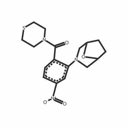 O=C(c1ccc([N+](=O)[O-])cc1N1CC2CCC(C1)O2)N1CCSCC1